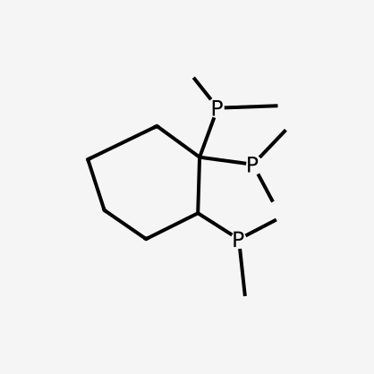 CP(C)C1CCCCC1(P(C)C)P(C)C